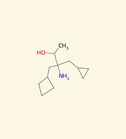 CC(O)C(N)(CC1CCC1)CC1CC1